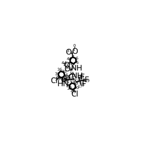 COC(=O)c1ccc(NC(=O)[C@@H]2N[C@@H](CC(C)(C)C(F)(F)F)[C@@]3(C(=O)Nc4cc(Cl)ccc43)[C@@H]2c2cccc(Cl)c2F)c(OC)c1